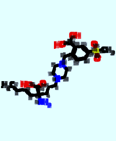 CCCCC(N)(CCCN1CCN(Cc2ccc(S(C)(=O)=O)cc2B(O)O)CC1)C(=O)O